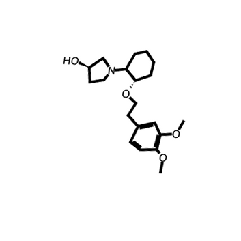 COc1ccc(CCO[C@H]2CCCCC2N2CC[C@@H](O)C2)cc1OC